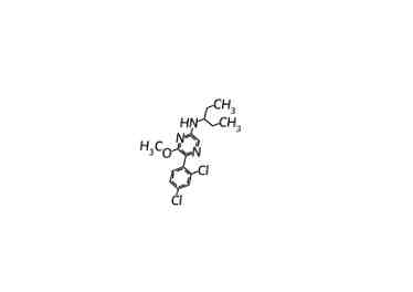 CCC(CC)Nc1cnc(-c2ccc(Cl)cc2Cl)c(OC)n1